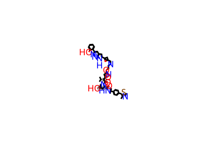 Cc1ncsc1-c1ccc(C(C)(C)NC(=O)[C@@H]2C[C@@H](O)CN2C(=O)[C@@H](c2cc(OCCN(C)CC34CC(c5cc6cc(-c7ccccc7O)nnc6[nH]5)(C3)C4)no2)C(C)C)cc1